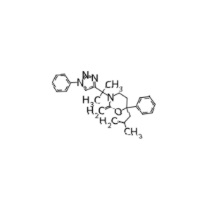 C=C(C)CC1(c2ccccc2)CCN(C(C)(C)c2cn(-c3ccccc3)nn2)C(=C)O1